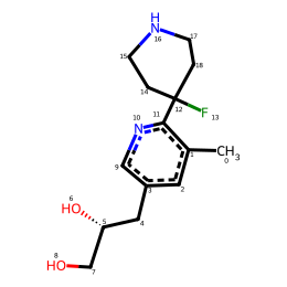 Cc1cc(C[C@@H](O)CO)cnc1C1(F)CCNCC1